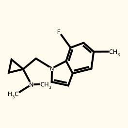 Cc1cc(F)c2c(ccn2CC2(N(C)C)CC2)c1